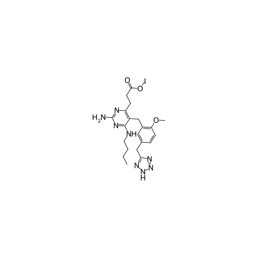 CCCCNc1nc(N)nc(CCC(=O)OI)c1Cc1cc(Cc2nn[nH]n2)ccc1OC